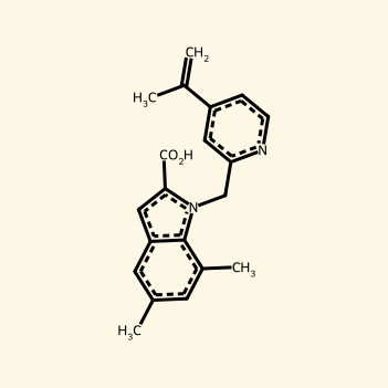 C=C(C)c1ccnc(Cn2c(C(=O)O)cc3cc(C)cc(C)c32)c1